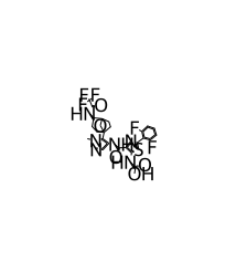 Cn1ncc(NC(=O)c2nc(-c3c(F)cccc3F)sc2NC(=O)O)c1C12CCC(NC(=O)C(F)(F)F)C(CC1)O2